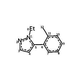 CCn1nccc1-c1c[c]ccc1C